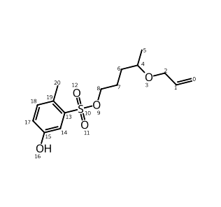 C=CCOC(C)CCCOS(=O)(=O)c1cc(O)ccc1C